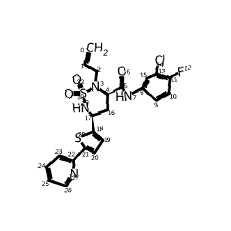 C=CCN1[C@@H](C(=O)Nc2ccc(F)c(Cl)c2)C[C@@H](c2ccc(-c3ccccn3)s2)NS1(=O)=O